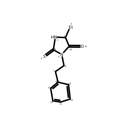 CCC1NC(=S)N(CCc2ccccc2)C1=O